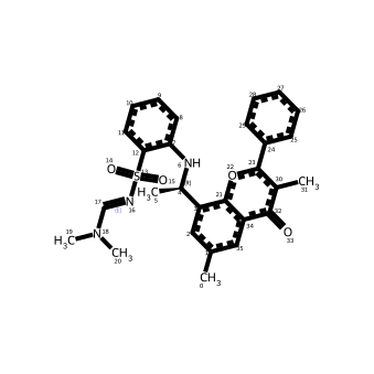 Cc1cc([C@@H](C)Nc2ccccc2S(=O)(=O)/N=C/N(C)C)c2oc(-c3ccccc3)c(C)c(=O)c2c1